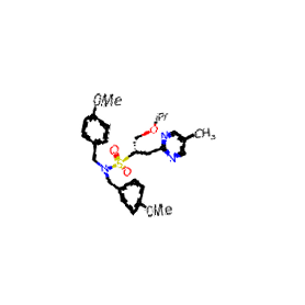 COc1ccc(CN(Cc2ccc(OC)cc2)S(=O)(=O)[C@H](COC(C)C)Cc2ncc(C)cn2)cc1